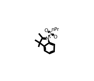 CCCS(=O)(=O)[N+]1=C(C)C(C)(C)c2ccccc21